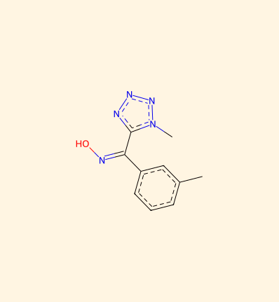 Cc1cccc(C(=NO)c2nnnn2C)c1